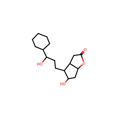 O=C1CC2C(CC(O)C2CCC(O)C2CCCCC2)O1